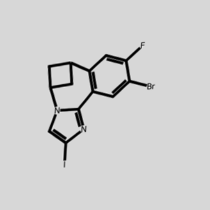 Fc1cc2c(cc1Br)-c1nc(I)cn1C1CC2C1